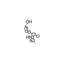 Cc1cnc2[nH]c3c(OC[C@@H]4CN(CCO)CCO4)ccc(Cl)c3c2c1